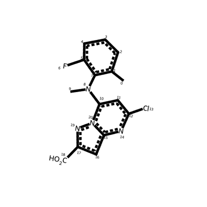 Cc1cccc(F)c1N(C)c1cc(Cl)nc2cc(C(=O)O)nn12